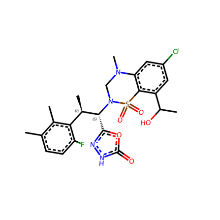 Cc1ccc(F)c([C@@H](C)[C@@H](c2n[nH]c(=O)o2)N2CN(C)c3cc(Cl)cc(C(C)O)c3S2(=O)=O)c1C